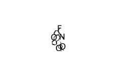 C=N[C@@H]1c2cc(F)ccc2Oc2ccccc2[C@H]1C[C@@H]1COC(C)(C)O1